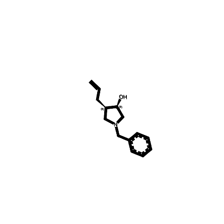 C=CC[C@@H]1CN(Cc2ccccc2)C[C@@H]1O